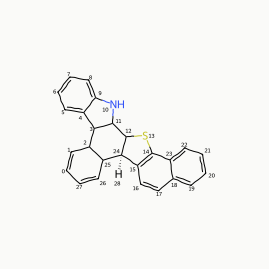 C1=CC2C3c4ccccc4NC3C3Sc4c(ccc5ccccc45)[C@H]3C2C=C1